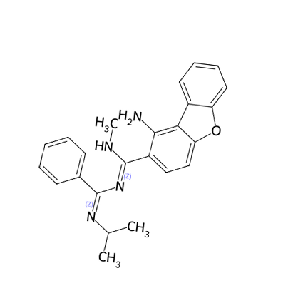 CN/C(=N\C(=N/C(C)C)c1ccccc1)c1ccc2oc3ccccc3c2c1N